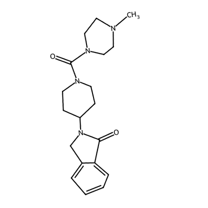 CN1CCN(C(=O)N2CCC(N3Cc4ccccc4C3=O)CC2)CC1